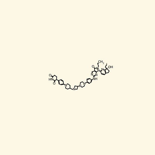 C=CCn1c(=O)c2cnc(Nc3ccc(N4CCN(C5CN(CC6CCN(c7ccc(C8CCC(=O)NC8=O)cc7)CC6)C5)CC4)cc3)nc2n1-c1ccc2c(n1)[C@@](O)(CI)CC2